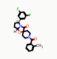 Cc1ccccc1C(=O)N1CCC2(CC1)O[C@@H]1CC[C@@H](c3cc(F)cc(F)c3)N1C2=O